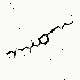 C=CC(=O)OCCNC(=O)Oc1ccc(C#CCOCSC)cc1